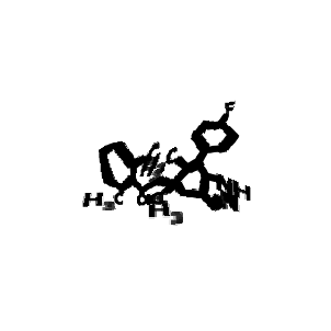 CC1=C(c2ccc(F)cc2)c2[nH]ncc2CC1(C)CC(O)c1c(C)cccc1C